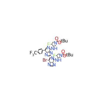 CC(C)(C)OC(=O)N1C[C@H](F)[C@H](Nc2ncc(-c3ccc(C(F)(F)F)cc3)c3nccnc23)C1.CC(C)(C)OC(=O)N1C[C@H](F)[C@H](Nc2ncc(Br)c3nccnc23)C1